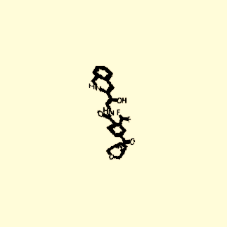 O=C(NCC(O)C1Cc2ccccc2CN1)c1ccc(C(=O)N2C3CCC2COC3)cc1C(F)F